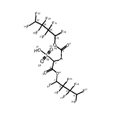 O=C(CC(C(=O)OC(F)C(F)(F)C(F)(F)C(F)F)S(=O)(=O)O)OC(F)C(F)(F)C(F)(F)C(F)F